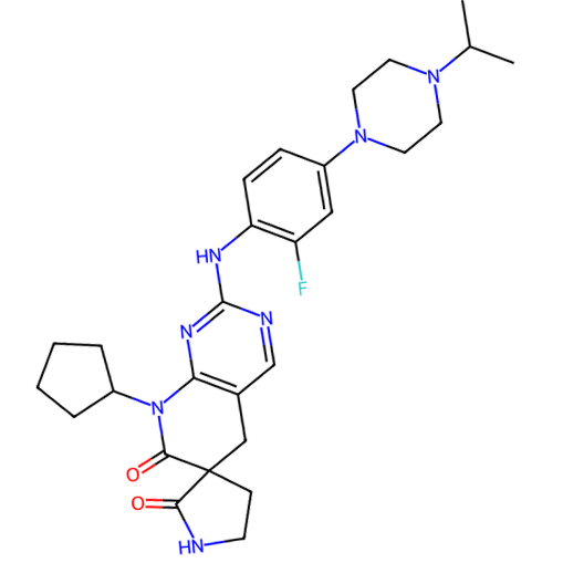 CC(C)N1CCN(c2ccc(Nc3ncc4c(n3)N(C3CCCC3)C(=O)C3(CCNC3=O)C4)c(F)c2)CC1